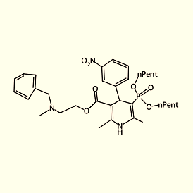 CCCCCOP(=O)(OCCCCC)C1=C(C)NC(C)=C(C(=O)OCCN(C)Cc2ccccc2)C1c1cccc([N+](=O)[O-])c1